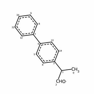 CC([C]=O)c1ccc(-c2ccccc2)cc1